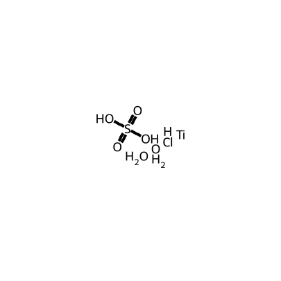 Cl.O.O.O=S(=O)(O)O.[Ti]